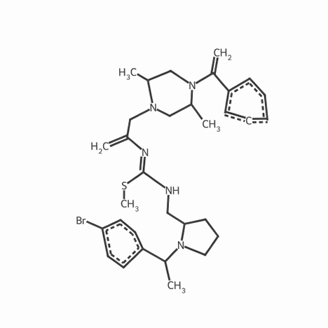 C=C(CN1CC(C)N(C(=C)c2ccccc2)CC1C)/N=C(/NCC1CCCN1C(C)c1ccc(Br)cc1)SC